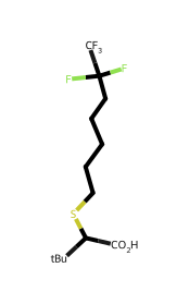 CC(C)(C)C(SCCCCCC(F)(F)C(F)(F)F)C(=O)O